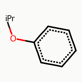 CC(C)Oc1ccccc1